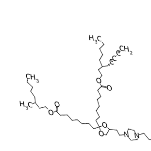 C=C=C=C=CC(CCCCC)CCOC(=O)CCCCCCCC1(CCCCCCCC(=O)OCCC(C)CCCCC)OCC(CCN2CCN(CCO)CC2)O1